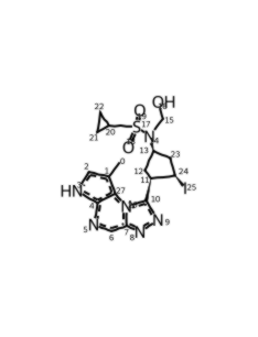 Cc1c[nH]c2ncc3nnc([C@H]4C[C@@H](N(CO)S(=O)(=O)C5CC5)C[C@H]4I)n3c12